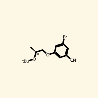 C[C@@H](COc1cc(Br)cc(C#N)c1)OC(C)(C)C